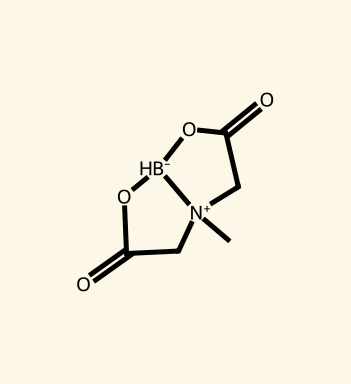 C[N+]12CC(=O)O[BH-]1OC(=O)C2